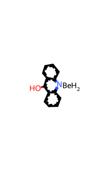 Oc1c2ccccc2nc2ccccc12.[BeH2]